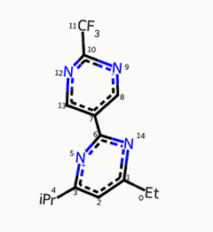 CCc1cc(C(C)C)nc(-c2cnc(C(F)(F)F)nc2)n1